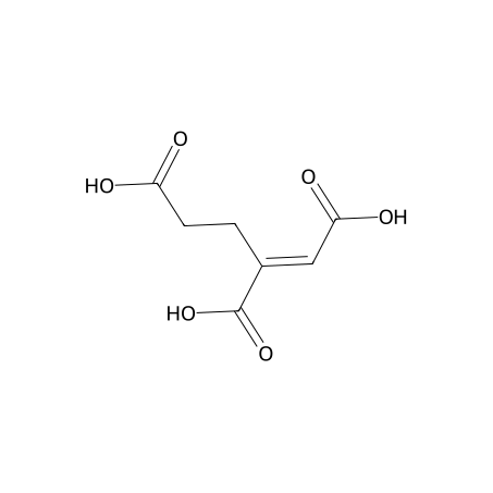 O=C(O)/C=C(\CCC(=O)O)C(=O)O